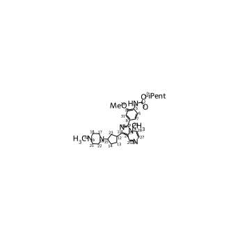 CCC[C@H](C)OC(=O)Nc1ccc(C2=NC(C3CCC(N4CCN(C)CC4)C3)=C3C=NC=C[N+]23C)cc1OC